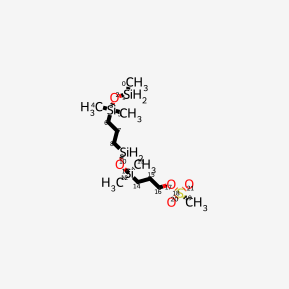 C[SiH2]O[Si](C)(C)CCC[SiH2]O[Si](C)(C)CCCOS(C)(=O)=O